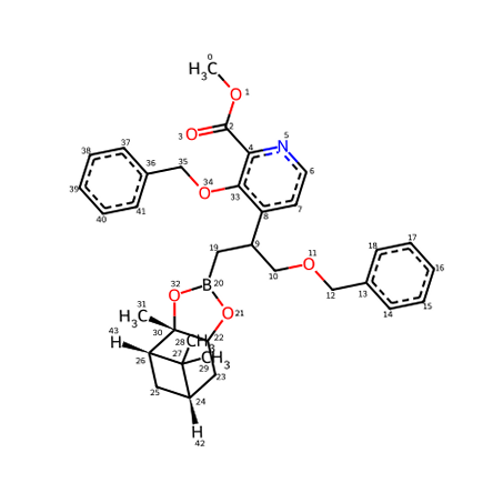 COC(=O)c1nccc(C(COCc2ccccc2)CB2OC3C[C@@H]4C[C@@H](C4(C)C)[C@]3(C)O2)c1OCc1ccccc1